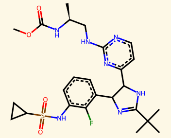 COC(=O)N[C@@H](C)CNc1nccc(C2NC(C(C)(C)C)=NC2c2cccc(NS(=O)(=O)C3CC3)c2F)n1